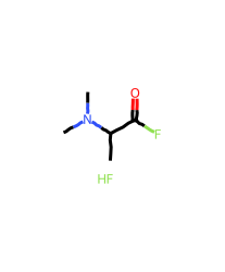 CC(C(=O)F)N(C)C.F